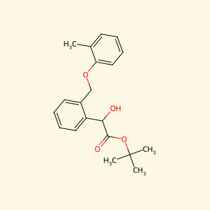 Cc1ccccc1OCc1ccccc1C(O)C(=O)OC(C)(C)C